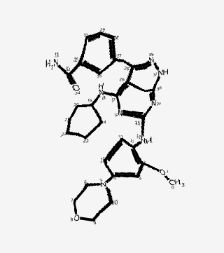 COc1cc(N2CCOCC2)ccc1Nc1nc(NC2CCCCC2)c2c(-c3cccc(C(N)=O)c3)n[nH]c2n1